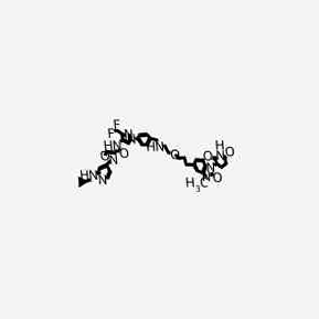 Cn1c(=O)n(C2CCC(=O)NC2=O)c2ccc(CCCOCCNCc3ccc(-n4cc(NC(=O)c5coc(-c6ccnc(NCC7CC7)c6)n5)c(C(F)F)n4)cc3)cc21